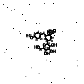 CCOc1ccc(Cc2cc(C3O[C@H](CO)[C@@H](O)[C@H](O)[C@H]3O)ccc2Cl)cc1.O.O